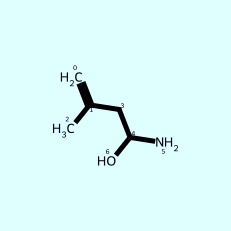 C=C(C)CC(N)O